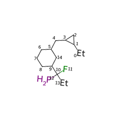 CCC1CC1CC1CCCC(C(F)(P)CC)C1